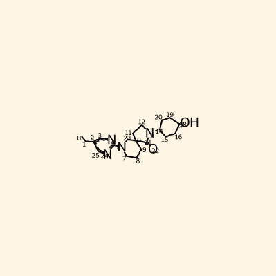 CCc1cnc(N2CCCC3(CCN([C@H]4CC[C@H](O)CC4)C3=O)C2)nc1